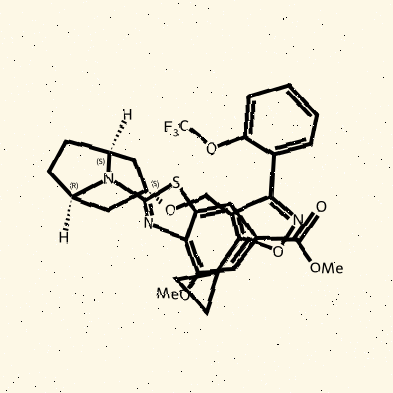 COC(=O)c1cc(OC)c2nc(N3[C@@H]4CC[C@H]3C[C@H](OCc3c(-c5ccccc5OC(F)(F)F)noc3C3CC3)C4)sc2c1